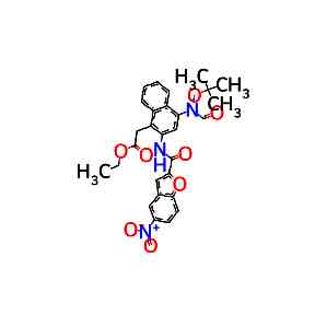 CCOC(=O)Cc1c(NC(=O)c2cc3cc([N+](=O)[O-])ccc3o2)cc(N(C=O)OC(C)(C)C)c2ccccc12